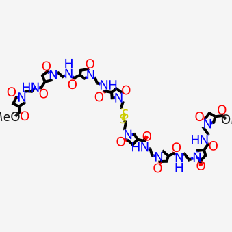 COC(=O)C1CC(=O)N(CCNC(=O)C2CC(=O)N(CCNC(=O)C3CC(=O)N(CCNC(=O)C4CC(=O)N(CCSSCCN5CC(C(=O)NCCN6CC(C(=O)NCCN7CC(C(=O)NCCN8CC(C(=O)OC)CC8=O)CC7=O)CC6=O)CC5=O)C4)C3)C2)C1